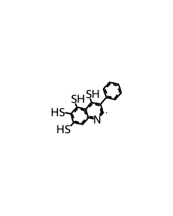 Sc1cc2n[c]c(-c3ccccc3)c(S)c2c(S)c1S